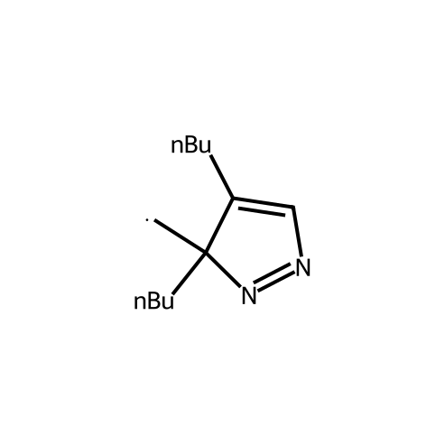 [CH2]C1(CCCC)N=NC=C1CCCC